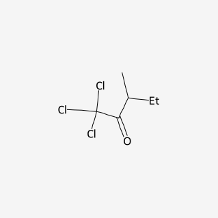 CCC(C)C(=O)C(Cl)(Cl)Cl